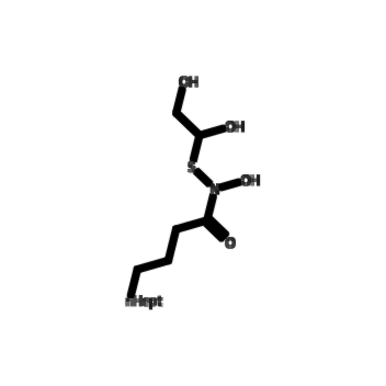 CCCCCCCCCCC(=O)N(O)SC(O)CO